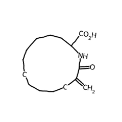 C=C1CCCCCCCCCCC(C(=O)O)NC1=O